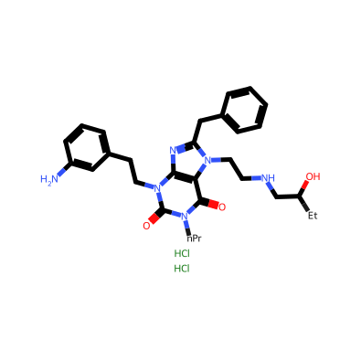 CCCn1c(=O)c2c(nc(Cc3ccccc3)n2CCNCC(O)CC)n(CCc2cccc(N)c2)c1=O.Cl.Cl